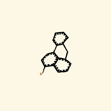 Brc1ccc2c3c(cccc13)Cc1ccccc1-2